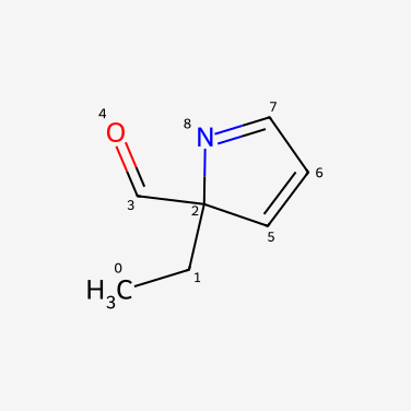 CCC1(C=O)C=CC=N1